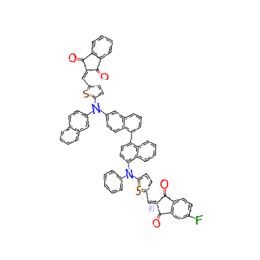 O=C1C(=Cc2ccc(N(c3ccc4ccccc4c3)c3ccc4c(-c5ccc(N(c6ccccc6)c6ccc(/C=C7\C(=O)c8ccc(F)cc8C7=O)s6)c6ccccc56)cccc4c3)s2)C(=O)c2ccccc21